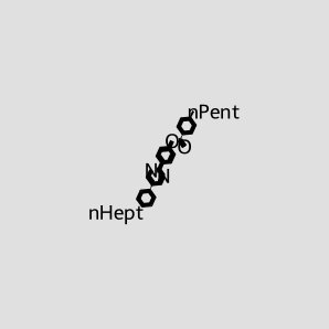 CCCCCCC[C@H]1CC[C@H](c2cnc(-c3ccc(OC(=O)[C@H]4CC[C@H](CCCCC)CC4)cc3)nc2)CC1